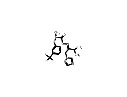 CC(C)C(Cn1cncn1)=NOC(=O)N(C)Sc1cccc(C(F)(F)F)c1